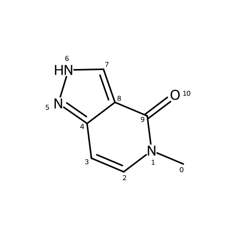 Cn1ccc2n[nH]cc2c1=O